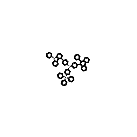 c1ccc(-c2c(-c3ccc(N(c4ccc(-c5cccc6c5c5ccccc5n6-c5ccccc5)cc4)c4ccc([Si](c5ccccc5)(c5ccccc5)c5ccccc5)cc4)cc3)c3ccccc3c3ccccc23)cc1